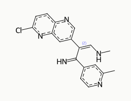 CN/C=C(\C(=N)c1ccnc(C)c1)c1cnc2ccc(Cl)nc2c1